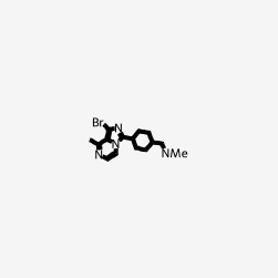 CNCC1CCC(c2nc(Br)c3c(C)nccn23)CC1